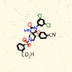 N#Cc1ccc([C@@H]2CN(S(=O)(=O)c3cccc(C(=O)O)c3)C[C@@]23NC(=O)N(c2cc(Cl)cc(Cl)c2)C3=O)cc1